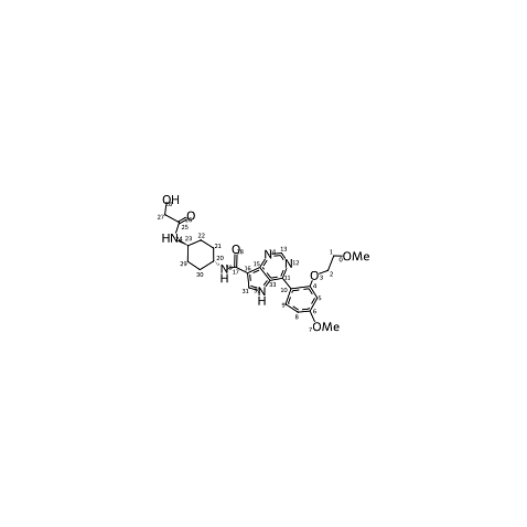 COCCOc1cc(OC)ccc1-c1ncnc2c(C(=O)N[C@H]3CC[C@H](NC(=O)CO)CC3)c[nH]c12